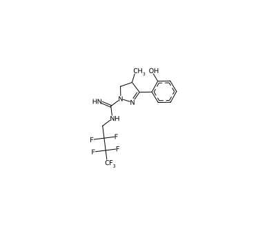 CC1CN(C(=N)NCC(F)(F)C(F)(F)C(F)(F)F)N=C1c1ccccc1O